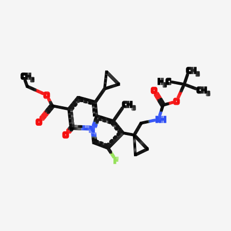 CCOC(=O)c1cc(C2CC2)c2c(C)c(C3(CNC(=O)OC(C)(C)C)CC3)c(F)cn2c1=O